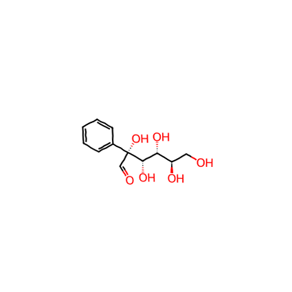 O=C[C@@](O)(c1ccccc1)[C@@H](O)[C@H](O)[C@H](O)CO